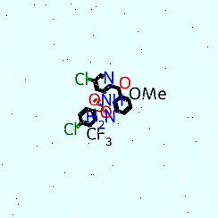 COc1ccc(N)cc1C(=O)c1ncc(Cl)cc1NS(=O)(=O)c1ccc(Cl)c(C(F)(F)F)c1